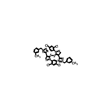 Cc1cccc(Cn2nnc(-c3cnn(-c4ccc(Cl)cc4Cl)c3SSc3c(-c4nnn(Cc5cccc(C)c5)n4)cnn3-c3ccc(Cl)cc3Cl)n2)c1